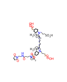 CN(CCCC(=O)NCCN1C(=O)C=CC1=O)S(=O)(=O)c1ccc2c(c1)C(C)(C)\C(=C/C=C/C=C/C=C/C1=[N+](CCCS(=O)(=O)O)c3ccc(SOOO)cc3C1(C)C)N2CCCSOOO